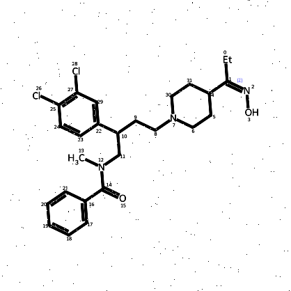 CC/C(=N/O)C1CCN(CCC(CN(C)C(=O)c2ccccc2)c2ccc(Cl)c(Cl)c2)CC1